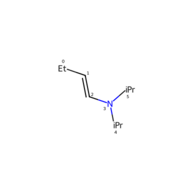 CCC=CN(C(C)C)C(C)C